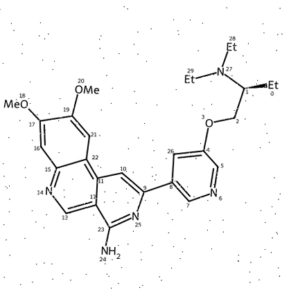 CC[C@@H](COc1cncc(-c2cc3c(cnc4cc(OC)c(OC)cc43)c(N)n2)c1)N(CC)CC